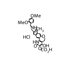 COc1ccc(CNCc2cc3cc4c(cc3n2C)OCCc2c-4[nH]c(=O)c(OC(=O)O)c2O)c(OC)c1.Cl